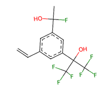 C=Cc1cc(C(C)(O)F)cc(C(O)(C(F)(F)F)C(F)(F)F)c1